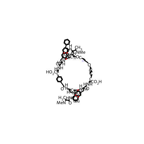 CN[C@@H](C)C(=O)N[C@@H](Cc1ccccc1)C(=O)N1C[C@@H]2C[C@H]1C(=O)N[C@@H](Cc1ccc3ccccc3c1)C(=O)N[C@H](C(=O)O)Cc1ccc(cc1)C(=O)N[C@H]1C[C@@H](C(=O)N[C@@H](Cc3ccc4ccccc4c3)C(=O)N[C@H](C(=O)O)Cc3ccc(cc3)OC/C=C/CO2)N(C(=O)[C@@H](NC(=O)[C@H](C)NC)C(C)(C)C)C1